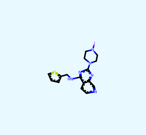 IN1CCN(c2nc(NCc3cccs3)c3ccncc3n2)CC1